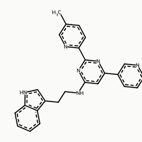 Cc1ccc(-c2nc(NCCc3c[nH]c4ccccc34)cc(-c3cccnc3)n2)nc1